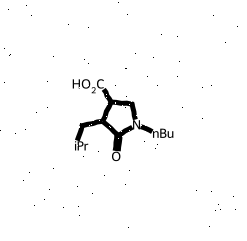 CCCCN1CC(C(=O)O)C(CC(C)C)C1=O